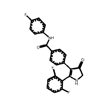 O=C1CNC(c2c(F)cccc2F)=C1c1ccc(C(=O)Nc2ccc(F)cc2)cc1